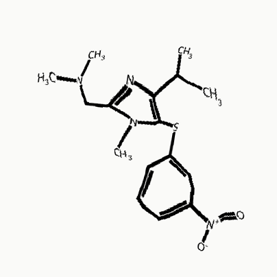 CC(C)c1nc(CN(C)C)n(C)c1Sc1cccc([N+](=O)[O-])c1